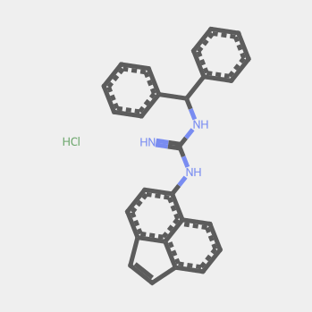 Cl.N=C(Nc1ccc2c3c(cccc13)C=C2)NC(c1ccccc1)c1ccccc1